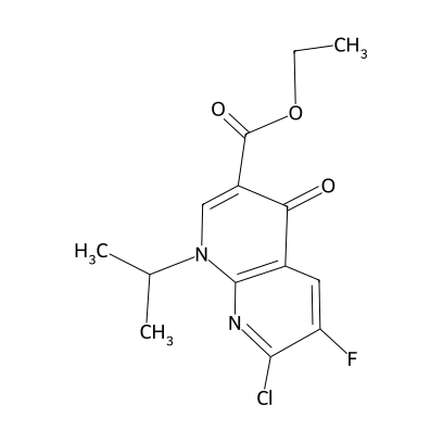 CCOC(=O)c1cn(C(C)C)c2nc(Cl)c(F)cc2c1=O